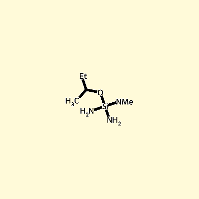 CCC(C)O[Si](N)(N)NC